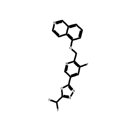 Fc1cc(-c2nnc(C(F)F)o2)cnc1COc1cccc2cnccc12